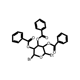 CCC1OC(Br)C(OC(=O)c2ccccc2)C(OC(=O)c2ccccc2)C1OC(=O)c1ccccc1